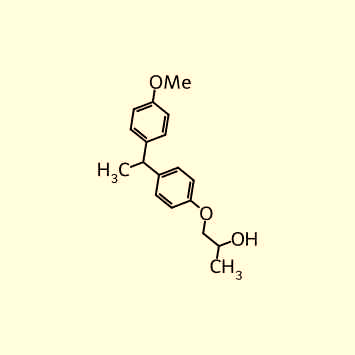 COc1ccc(C(C)c2ccc(OCC(C)O)cc2)cc1